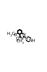 COc1cccc2nc(N3CCNCC3)nc(OC)c12